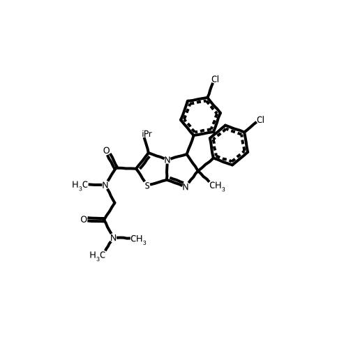 CC(C)C1=C(C(=O)N(C)CC(=O)N(C)C)SC2=NC(C)(c3ccc(Cl)cc3)C(c3ccc(Cl)cc3)N21